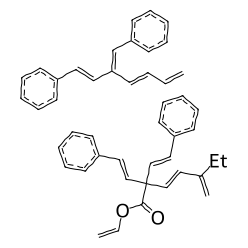 C=CC=CC(C=Cc1ccccc1)=Cc1ccccc1.C=COC(=O)C(C=CC(=C)CC)(C=Cc1ccccc1)C=Cc1ccccc1